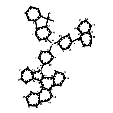 CC1(C)c2ccccc2-c2ccc(N(c3ccc(-c4cccc5ccccc45)cc3)c3ccc(-n4c5ccccc5c5c6c7ccccc7ccc6c6ccccc6c54)cc3)cc21